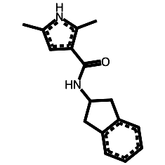 Cc1cc(C(=O)NC2Cc3ccccc3C2)c(C)[nH]1